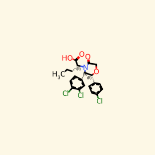 CCC[C@H](C(=O)O)N1C(=O)CO[C@H](c2ccc(Cl)cc2)[C@@H]1c1ccc(Cl)c(Cl)c1